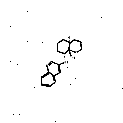 OC12CCCC[C@@H]1CCC[C@H]2Nc1cnc2ccccc2c1